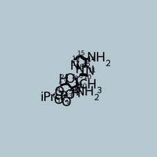 CC(C)O[P@@]1(=O)OC[C@H]2O[C@@H](c3cnc4c(N)ccnn34)[C@](C)(N)[C@@H]2O1